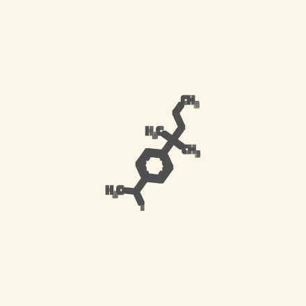 CCCC(C)(C)c1ccc(C(C)I)cc1